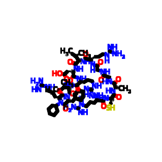 CC[C@H](C)[C@H](NC(=O)[C@H](CCCNC(=N)N)NC(=O)CNC(=O)CNC(=O)[C@H](C)NC(=O)[C@H](CS)NC(=O)[C@@H](N)CCCNC(=N)N)C(=O)N[C@@H](CC(=O)O)C(=O)N[C@@H](CCCNC(=N)N)C(=O)N[C@H](C(=O)N[C@@H](Cc1ccccc1)C(=O)N(C1CCCCC1)[C@H]([C]=O)CCCNC(=N)N)[C@@H](C)CC